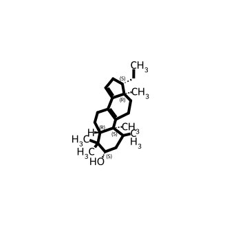 CC[C@H]1CC=C2C3=C(CC[C@@]21C)[C@@]1(C)C(C)C[C@H](O)C(C)(C)[C@@H]1CC3